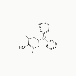 CC1=C(O)C(C)CC([S+](c2ccccc2)c2ccccc2)=C1